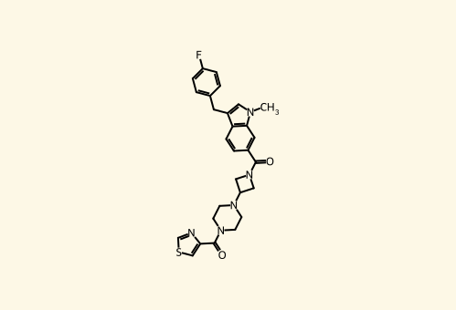 Cn1cc(Cc2ccc(F)cc2)c2ccc(C(=O)N3CC(N4CCN(C(=O)c5cscn5)CC4)C3)cc21